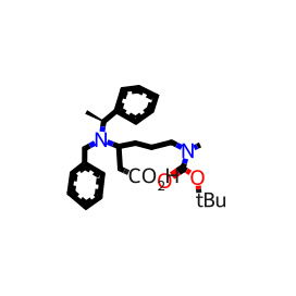 C[C@@H](c1ccccc1)N(Cc1ccccc1)C(CCCN(C)C(=O)OC(C)(C)C)CC(=O)O